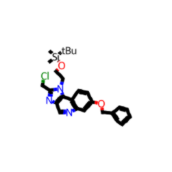 CC(C)(C)[Si](C)(C)OCCn1c(CCl)nc2cnc3cc(OCc4ccccc4)ccc3c21